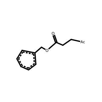 CC(=O)CCC(=O)OCc1ccccc1